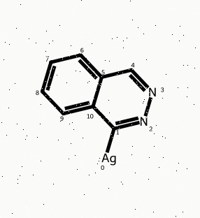 [Ag][c]1nncc2ccccc12